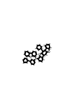 c1ccc(-c2cccc(N(c3cccc4c3oc3ccccc34)c3cccc4c3oc3c(-c5ccccc5)c5c(cc34)oc3ccccc35)c2)cc1